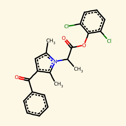 Cc1cc(C(=O)c2ccccc2)c(C)n1C(C)C(=O)Oc1c(Cl)cccc1Cl